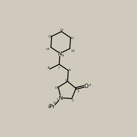 CC(C)N1CC(=O)C(CC(C)N2CCCCC2)C1